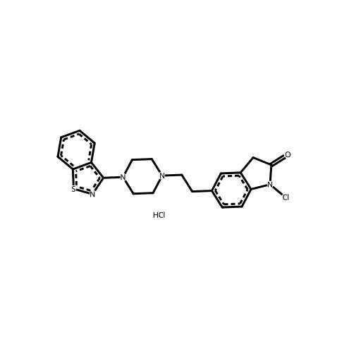 Cl.O=C1Cc2cc(CCN3CCN(c4nsc5ccccc45)CC3)ccc2N1Cl